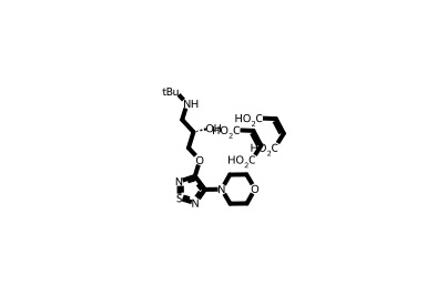 CC(C)(C)NC[C@H](O)COc1nsnc1N1CCOCC1.O=C(O)/C=C\C(=O)O.O=C(O)/C=C\C(=O)O